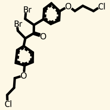 O=C(C(CBr)c1ccc(OCCCCl)cc1)C(CBr)c1ccc(OCCCCl)cc1